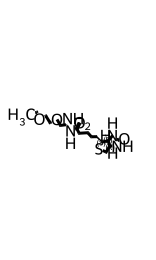 CCOCCOCC(N)NC(=O)CCCC[C@@H]1SC[C@@H]2NC(=O)N[C@@H]21